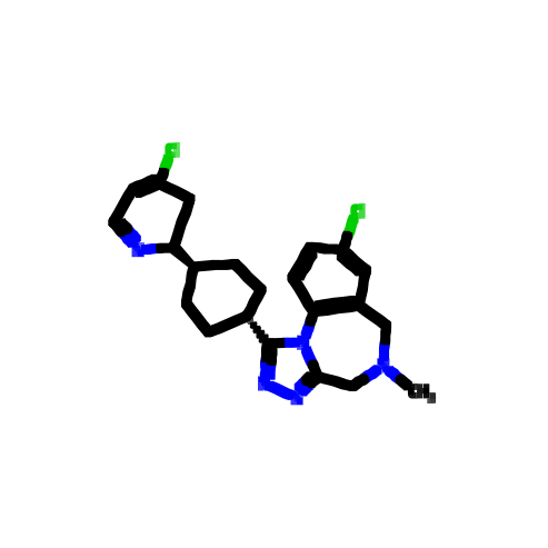 CN1Cc2cc(Cl)ccc2-n2c(nnc2[C@H]2CC[C@H](C3CC(Cl)=CC=N3)CC2)C1